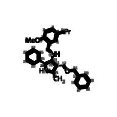 COc1ccc(C(C)C)cc1CN[C@H]1[C@H](COCc2ccccc2)[C@@H](C)N[C@H]1c1ccccc1